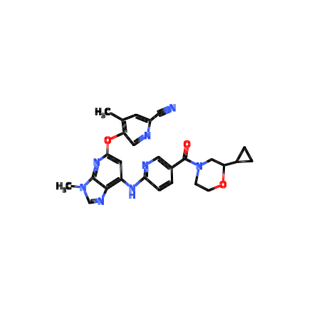 Cc1cc(C#N)ncc1Oc1cc(Nc2ccc(C(=O)N3CCOC(C4CC4)C3)cn2)c2ncn(C)c2n1